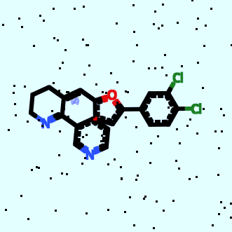 Clc1ccc(-c2ccc(/C=C3/CCCN=C3c3cccnc3)o2)cc1Cl